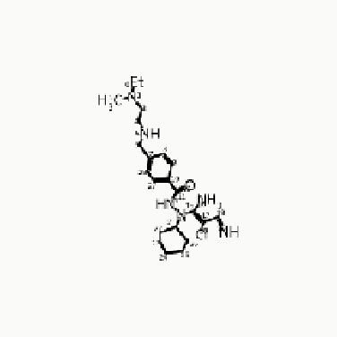 CCN(C)CCNCc1ccc(C(=O)NN(/C(N)=C(\Cl)C=N)C2CCCCC2)cc1